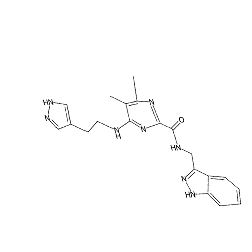 Cc1nc(C(=O)NCc2n[nH]c3ccccc23)nc(NCCc2cn[nH]c2)c1C